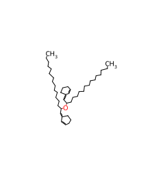 CCCCCCCCCCCCCCC(C=C1C=CCCC1)OC(C=C1C=CCCC1)CCCCCCCCCCCCCC